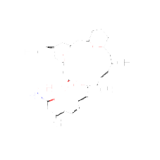 C/C=C1\CC2CC(=O)OC(/C=C/C=C\C=C(/C)CC(=O)NO)C(C)/C=C/C(C)CC3CCCC(CC(C1)O2)O3